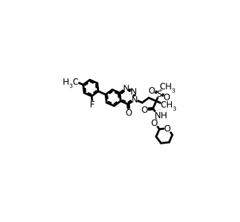 Cc1ccc(-c2ccc3c(=O)n(CCC(C)(C(=O)NOC4CCCCO4)S(C)(=O)=O)nnc3c2)c(F)c1